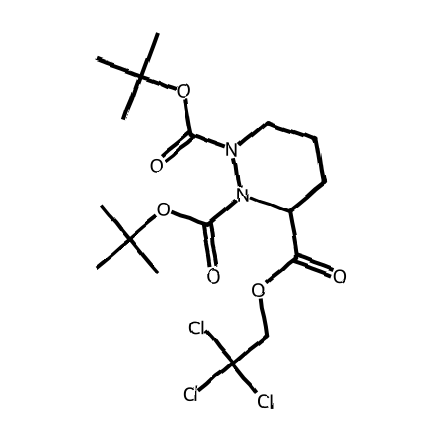 CC(C)(C)OC(=O)N1CCCC(C(=O)OCC(Cl)(Cl)Cl)N1C(=O)OC(C)(C)C